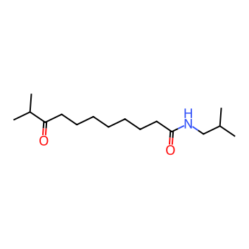 CC(C)CNC(=O)CCCCCCCC(=O)C(C)C